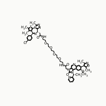 COc1cc2c(cc1-c1c(C)noc1C)ncc1c2n([C@H](C)c2ccccn2)c(=O)n1CC(=O)NCCOCCOCCOCCOCCNC(=O)C[C@@H]1N=C(c2ccc(Cl)cc2)c2c(sc(C)c2C)-n2c(C)nnc21